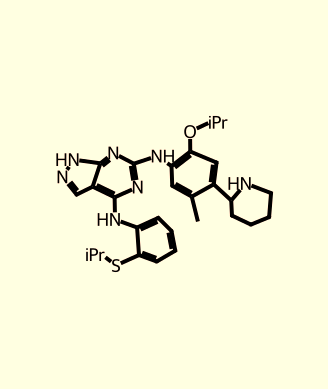 Cc1cc(Nc2nc(Nc3ccccc3SC(C)C)c3cn[nH]c3n2)c(OC(C)C)cc1C1CCCCN1